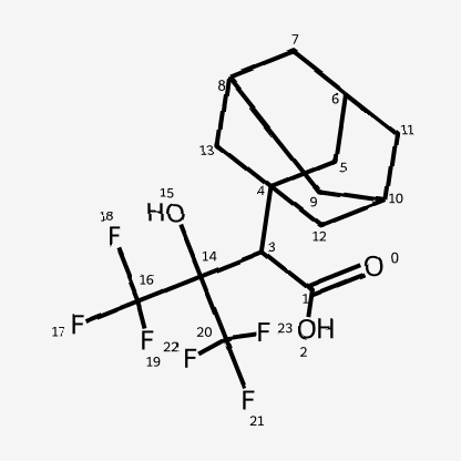 O=C(O)C(C12CC3CC(CC(C3)C1)C2)C(O)(C(F)(F)F)C(F)(F)F